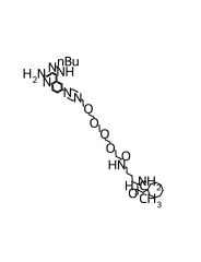 CCCCc1nc2c(N)nc3ccc(N4CCN(CCOCCOCCOCCOCCC(=O)NCCCCC(N)C(=O)C(C)C5(C)CCCCCCC5)CC4)cc3c2[nH]1